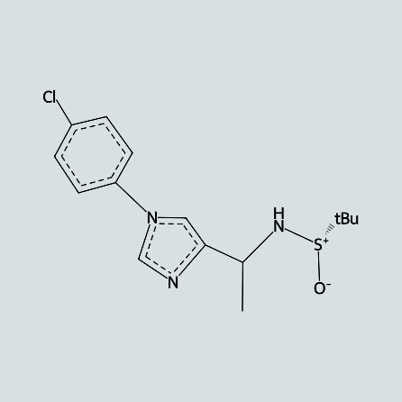 CC(N[S@@+]([O-])C(C)(C)C)c1cn(-c2ccc(Cl)cc2)cn1